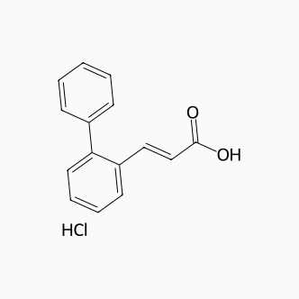 Cl.O=C(O)C=Cc1ccccc1-c1ccccc1